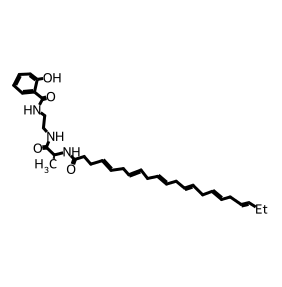 CCC=CCC=CCC=CCC=CCC=CCC=CCCC(=O)N[C@@H](C)C(=O)NCCNC(=O)c1ccccc1O